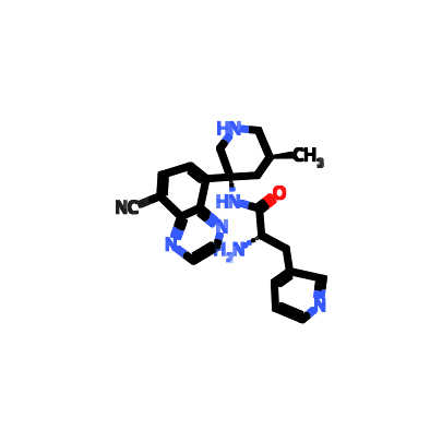 C[C@@H]1CNC[C@](NC(=O)[C@@H](N)Cc2cccnc2)(c2ccc(C#N)c3nccnc23)C1